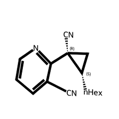 CCCCCC[C@H]1C[C@]1(C#N)c1ncccc1C#N